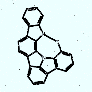 c1ccc2c(c1)c1ccc3c4cccc5c6cccc7sn2c1c3n(c76)c54